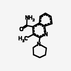 Cc1c(N2CCCCC2)nc2ccccc2c1C(N)=O